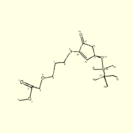 COC(=O)COCCCSC1=C[C@H](O[Si](C)(C)C(C)(C)C)CC1=O